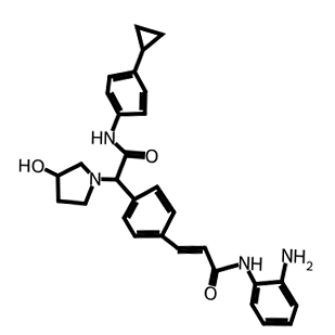 Nc1ccccc1NC(=O)C=Cc1ccc(C(C(=O)Nc2ccc(C3CC3)cc2)N2CCC(O)C2)cc1